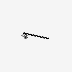 CCCCCCCCCCCCCCCC(CC)[As](=O)(O)O